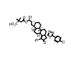 CC[C@H](CC[C@@]1(C)[C@H](C)CC[C@]2(C)[C@@H]1CC[C@@H]1C3=C(C(C)C)C(=O)C[C@]3(c3nnc(-c4ccc(Cl)cc4)s3)CC[C@]12C)OC(=O)CC(C)(C)C(=O)O